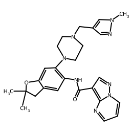 Cn1cc(CN2CCN(c3cc4c(cc3NC(=O)c3cnn5cccnc35)CC(C)(C)O4)CC2)cn1